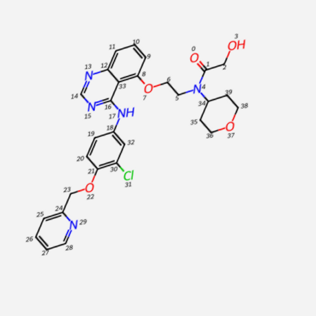 O=C(CO)N(CCOc1cccc2ncnc(Nc3ccc(OCc4ccccn4)c(Cl)c3)c12)C1CCOCC1